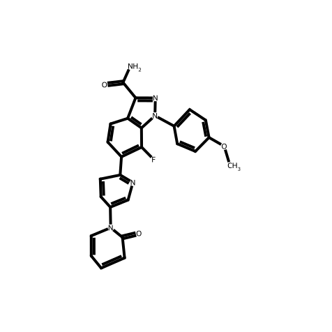 COc1ccc(-n2nc(C(N)=O)c3ccc(-c4ccc(-n5ccccc5=O)cn4)c(F)c32)cc1